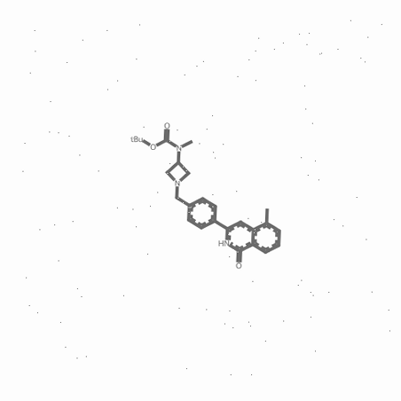 Cc1cccc2c(=O)[nH]c(-c3ccc(CN4CC(N(C)C(=O)OC(C)(C)C)C4)cc3)cc12